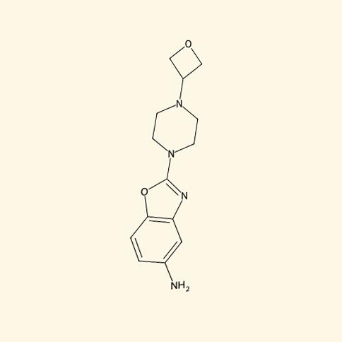 Nc1ccc2oc(N3CCN(C4COC4)CC3)nc2c1